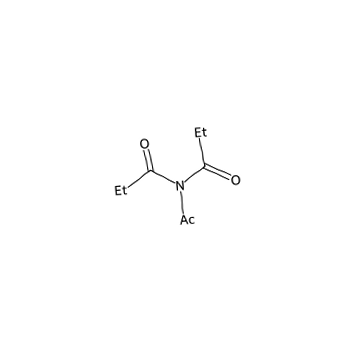 CCC(=O)N(C(C)=O)C(=O)CC